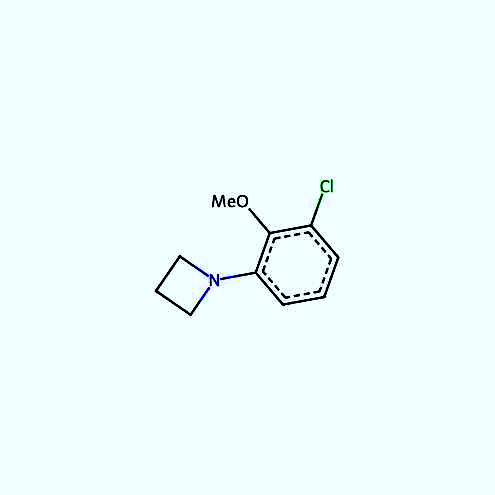 COc1c(Cl)cccc1N1CCC1